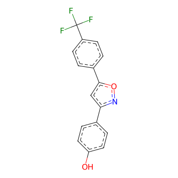 Oc1ccc(-c2cc(-c3ccc(C(F)(F)F)cc3)on2)cc1